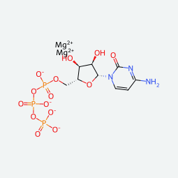 Nc1ccn([C@@H]2O[C@H](COP(=O)([O-])OP(=O)([O-])OP(=O)([O-])[O-])[C@@H](O)[C@H]2O)c(=O)n1.[Mg+2].[Mg+2]